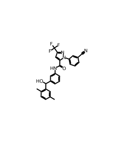 Cc1ccc(C)c(C(O)c2cccc(NC(=O)c3cc(C(F)(F)F)nn3-c3cccc(C#N)c3)c2)c1